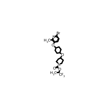 Cc1nc(Br)ccc1OC1CCC(OC2CCN(C(=O)OC(C)C(F)(F)F)CC2)CC1